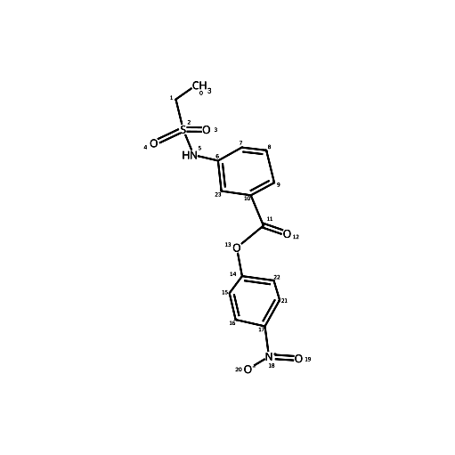 CCS(=O)(=O)Nc1cccc(C(=O)Oc2ccc([N+](=O)[O-])cc2)c1